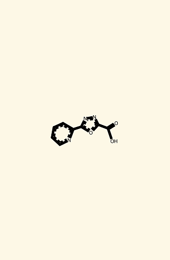 O=C(O)c1nnc(-c2ccccn2)o1